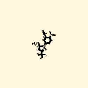 CN(C)c1ccc(-n2nc(C(C)(C)C)cc2N)cc1C#N